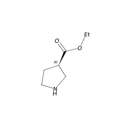 CCOC(=O)[C@@H]1CCNC1